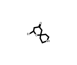 CCC1CC(=O)CC2(CCNCC2)O1